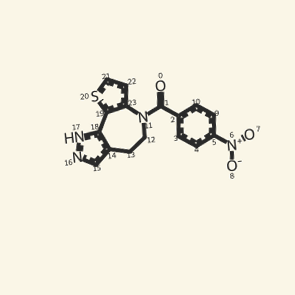 O=C(c1ccc([N+](=O)[O-])cc1)N1CCc2cn[nH]c2-c2sccc21